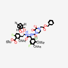 COc1c(F)cc(C(NC(=O)N2CCN(CC(=O)OCc3ccccc3)C(=O)C2=O)C(=O)N[C@@H](Cc2ccc(F)c(C(=O)OC(C)(C)C)c2OC)B2O[C@@H]3C[C@@H]4C[C@@H](C4(C)C)[C@]3(C)O2)c(Cl)c1OC